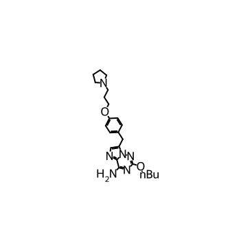 CCCCOc1nc(N)c2ncc(Cc3ccc(OCCCN4CCCC4)cc3)n2n1